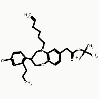 C=CCCCCN1CC(c2ccc(Cl)cc2CCC)COc2ccc(CC(=O)OC(C)(C)C)cc21